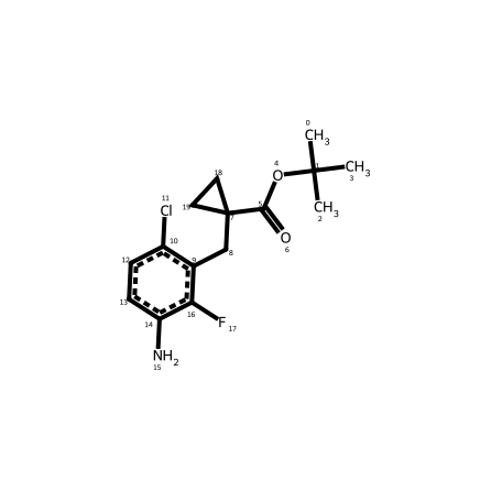 CC(C)(C)OC(=O)C1(Cc2c(Cl)ccc(N)c2F)CC1